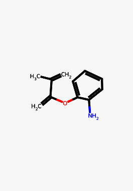 C=C(C)C(=C)Oc1ccccc1N